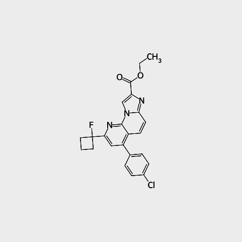 CCOC(=O)c1cn2c(ccc3c(-c4ccc(Cl)cc4)cc(C4(F)CCC4)nc32)n1